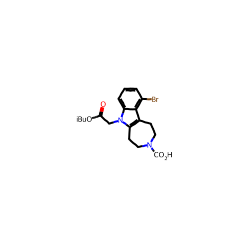 CC(C)COC(=O)Cn1c2c(c3c(Br)cccc31)CCN(C(=O)O)CC2